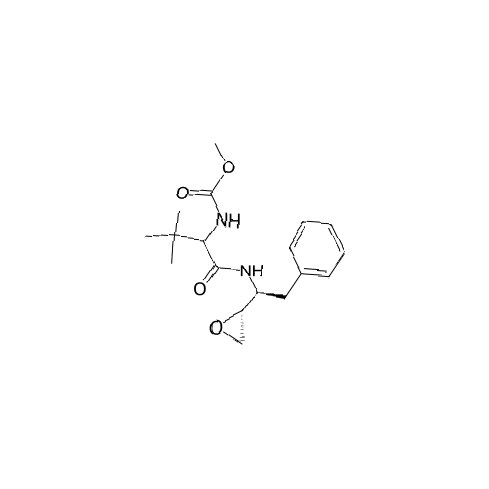 COC(=O)NC(C(=O)N[C@@H](Cc1ccccc1)[C@@H]1CO1)C(C)(C)C